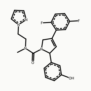 CN(CCn1cccn1)C(=O)N1CC(c2cc(F)ccc2F)=CC1c1cccc(O)c1